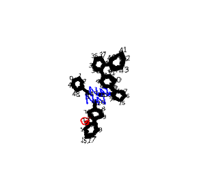 c1ccc(-c2nc(-c3ccc4c(c3)oc3ccccc34)nc(-n3c4ccccc4c4ccc(-c5ccccc5-c5ccccc5)cc43)n2)cc1